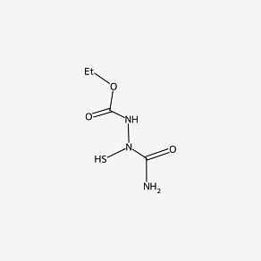 CCOC(=O)NN(S)C(N)=O